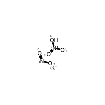 O=N[O-].O=[N+]([O-])O.[K+]